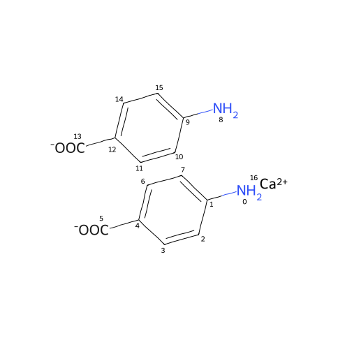 Nc1ccc(C(=O)[O-])cc1.Nc1ccc(C(=O)[O-])cc1.[Ca+2]